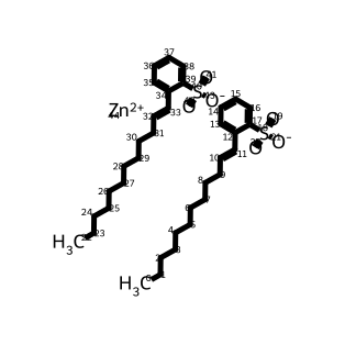 CCCCCCCCCC/C=C/c1ccccc1S(=O)(=O)[O-].CCCCCCCCCC/C=C/c1ccccc1S(=O)(=O)[O-].[Zn+2]